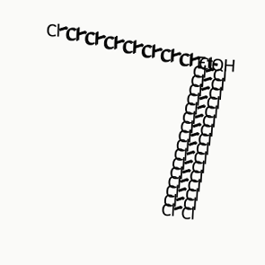 CCO.ClCCl.ClCCl.ClCCl.ClCCl.ClCCl.ClCCl.ClCCl.ClCCl.ClCCl.ClCCl.ClCCl.ClCCl.ClCCl.ClCCl.ClCCl.ClCCl.ClCCl.ClCCl.ClCCl.ClCCl.ClCCl.ClCCl.ClCCl.ClCCl